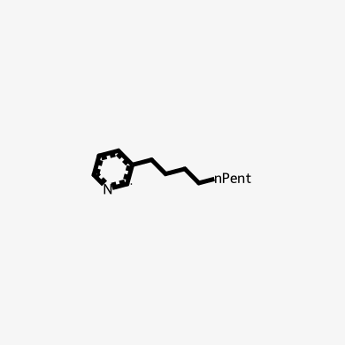 CCCCCCCCCc1[c]nccc1